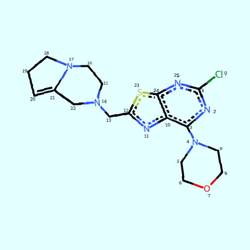 Clc1nc(N2CCOCC2)c2nc(CN3CCN4CCC=C4C3)sc2n1